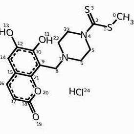 CSC(=S)N1CCN(Cc2c(O)c(O)cc3ccc(=O)oc23)CC1.Cl